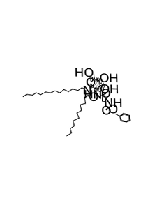 CCCCCCCCCCCCCCN(C(=O)CCCCCCCCCCC)[C@@H]1O[C@H](CO)[C@H](O)[C@H](O)[C@H]1NC(=O)CNC(=O)OCc1ccccc1